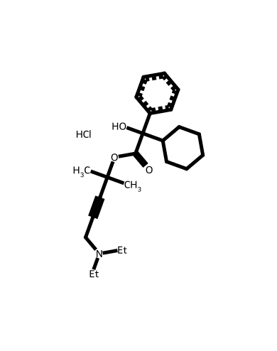 CCN(CC)CC#CC(C)(C)OC(=O)C(O)(c1ccccc1)C1CCCCC1.Cl